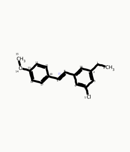 CCc1cc(Cl)cc(/C=C/c2ccc(OC)cc2)c1